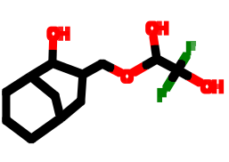 OC1C2CCCC(C2)CC1COC(O)C(O)(F)F